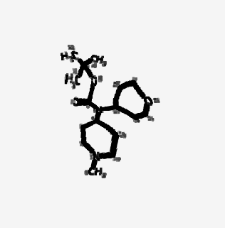 CN1CCC(N(C(=O)OC(C)(C)C)C2CCOCC2)CC1